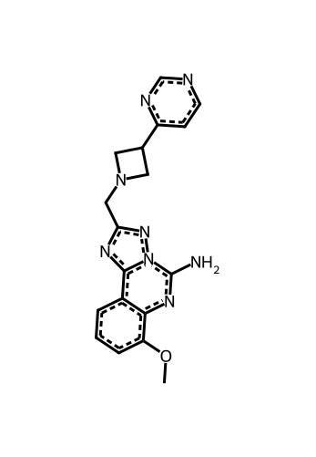 COc1cccc2c1nc(N)n1nc(CN3CC(c4ccncn4)C3)nc21